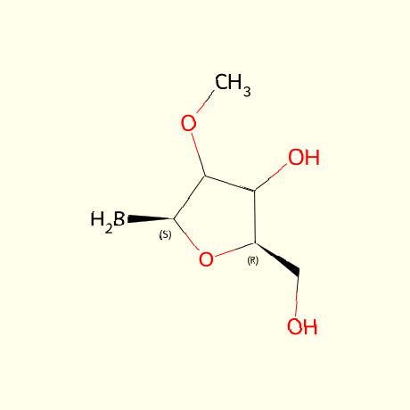 B[C@@H]1O[C@H](CO)C(O)C1OC